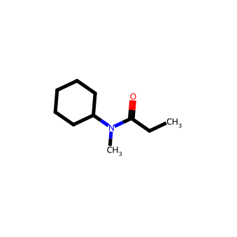 CCC(=O)N(C)C1CCCCC1